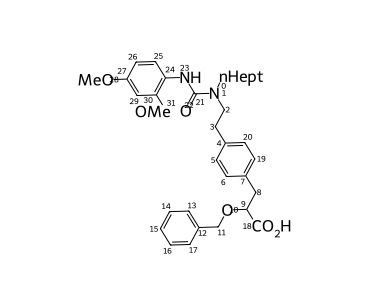 CCCCCCCN(CCc1ccc(CC(OCc2ccccc2)C(=O)O)cc1)C(=O)Nc1ccc(OC)cc1OC